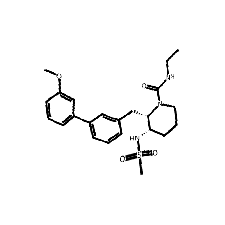 CCNC(=O)N1CCC[C@H](NS(C)(=O)=O)[C@@H]1Cc1cccc(-c2cccc(OC)c2)c1